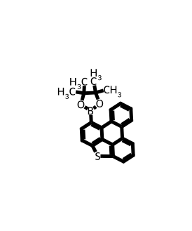 CC1(C)OB(c2ccc3sc4cccc5c6ccccc6c2c3c45)OC1(C)C